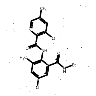 CCNC(=O)c1cc(Cl)cc(C)c1NC(=O)c1ncc(C(F)(F)F)cc1Cl